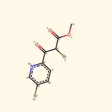 COC(=O)C(Br)C(=O)c1ccc(Br)cn1